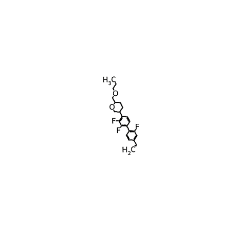 C=Cc1ccc(-c2ccc(C3CCC(COCCC)OC3)c(F)c2F)c(F)c1